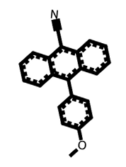 COc1ccc(-c2c3ccccc3c(C#N)c3ccccc23)cc1